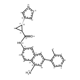 Cc1ccncc1-c1cc2cc(NC(=O)C3C[C@@H]3c3cnsc3)ncc2c(N)n1